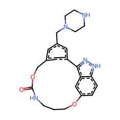 O=C1NCCCOc2ccc3[nH]nc(c3c2)-c2cc(cc(CN3CCNCC3)c2)CO1